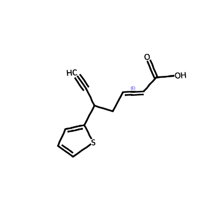 C#CC(C/C=C/C(=O)O)c1cccs1